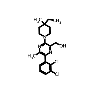 CCC1(C)CCN(c2nc(C)c(-c3cccc(Cl)c3Cl)nc2CO)CC1